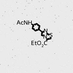 CCOC(=O)c1csc2nc(-c3ccc(NC(C)=O)cc3)cn12